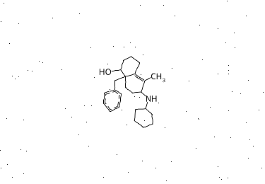 CC1=C2CCCC(O)C2(Cc2ccccc2)CCC1NC1CCCCC1